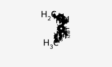 C=Cc1ccc2ncc(-c3ccc(N4CCN(C)CC4)c(C(F)(F)F)c3)n2n1